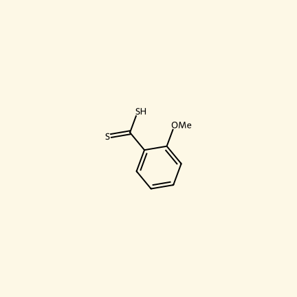 COc1ccccc1C(=S)S